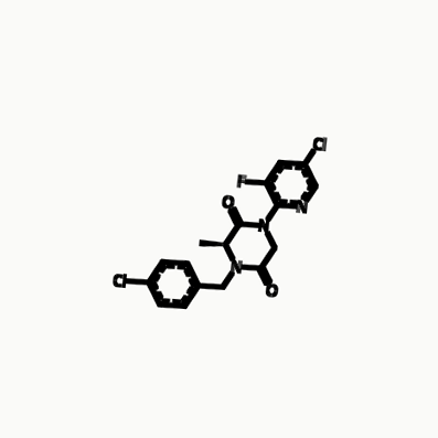 C[C@H]1C(=O)N(c2ncc(Cl)cc2F)CC(=O)N1Cc1ccc(Cl)cc1